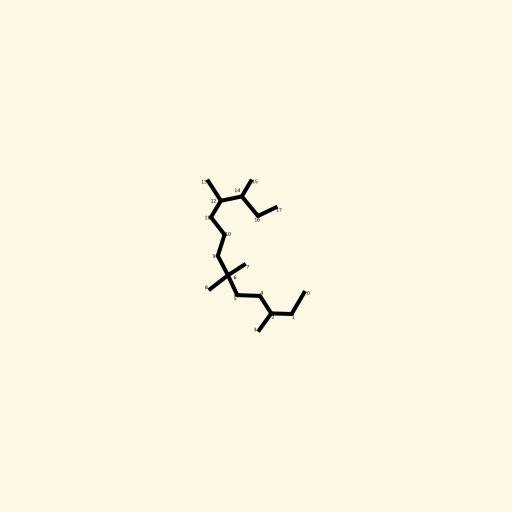 CCC(C)C[CH]C(C)(C)CCCC(C)C(C)CC